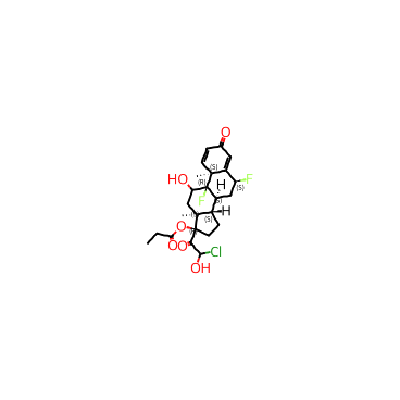 CCC(=O)O[C@]1(C(=O)C(O)Cl)CC[C@H]2[C@@H]3C[C@H](F)C4=CC(=O)C=C[C@]4(C)[C@@]3(F)C(O)C[C@@]21C